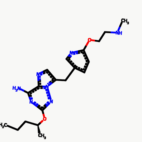 CCC[C@H](C)Oc1nc(N)c2ncc(Cc3ccc(OCCNC)nc3)n2n1